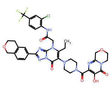 CCc1c(N2CCN(C(=O)c3nc4n(c(=O)c3O)CCOC4)CC2)c(=O)n2nc(-c3ccc4c(c3)CCOC4)nc2n1CC(=O)Nc1ccc(C(F)(F)F)cc1Cl